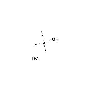 CS(C)(C)O.Cl